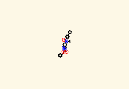 O=C(c1ccc(C2CCCC2)cc1)N(C1CC1)C1CCc2nn(C(=O)OCc3ccccc3)cc2C1